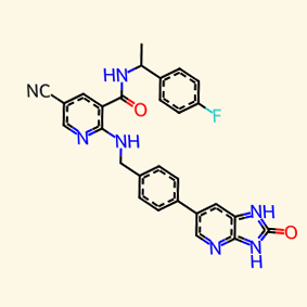 CC(NC(=O)c1cc(C#N)cnc1NCc1ccc(-c2cnc3[nH]c(=O)[nH]c3c2)cc1)c1ccc(F)cc1